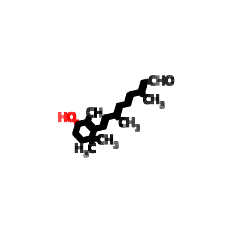 CC1=C(/C=C/C(C)=C/C=C/C(C)=C/C=O)C(C)(C)CCC1O